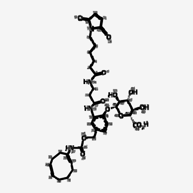 O=C(CCCCCN1C(=O)C=CC1=O)NCCC(=O)Nc1cc(COC(=O)N/C2=C/CCC/C=C\CC2)ccc1O[C@H]1O[C@@H](C(=O)O)[C@H](O)[C@@H](O)[C@@H]1O